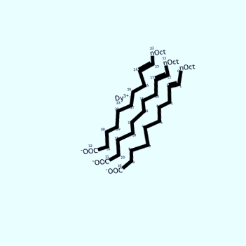 CCCCCCCCC=CCCCCCCCC(=O)[O-].CCCCCCCCC=CCCCCCCCC(=O)[O-].CCCCCCCCC=CCCCCCCCC(=O)[O-].[Dy+3]